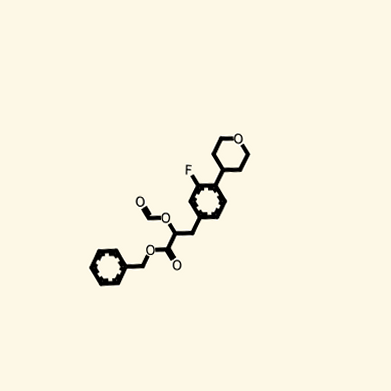 O=COC(Cc1ccc(C2CCOCC2)c(F)c1)C(=O)OCc1ccccc1